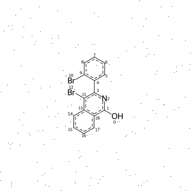 Oc1nc(-c2ccccc2Br)c(Br)c2ccccc12